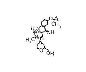 CN/C(=C\C(=N)C(=N)c1cc(OC2(C)CC2)ccc1N)N1CCOC(CO)C1